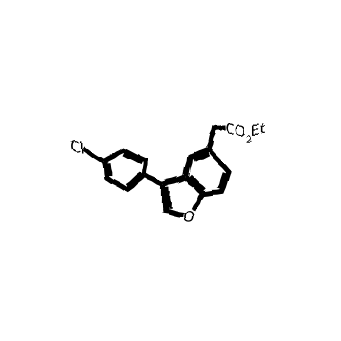 CCOC(=O)Cc1ccc2occ(-c3ccc(Cl)cc3)c2c1